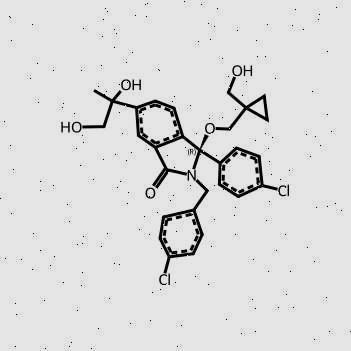 CC(O)(CO)c1ccc2c(c1)C(=O)N(Cc1ccc(Cl)cc1)[C@@]2(OCC1(CO)CC1)c1ccc(Cl)cc1